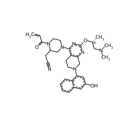 C=CC(=O)N1CCN(c2nc(O[C@H](C)CN(C)C)nc3c2CCN(c2cc(O)cc4ccccc24)C3)CC1CC#N